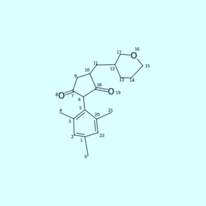 Cc1cc(C)c(C2C(=O)CC(CC3CCCOC3)C2=O)c(C)c1